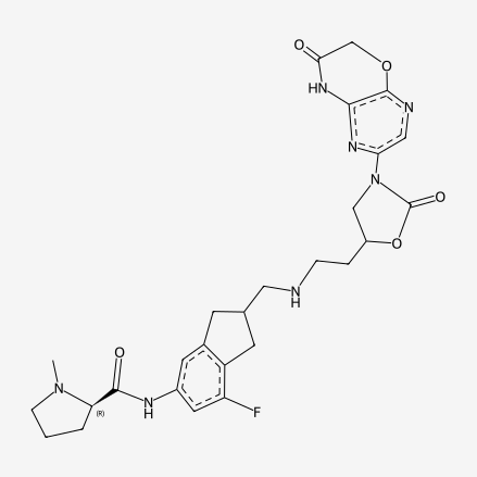 CN1CCC[C@@H]1C(=O)Nc1cc(F)c2c(c1)CC(CNCCC1CN(c3cnc4c(n3)NC(=O)CO4)C(=O)O1)C2